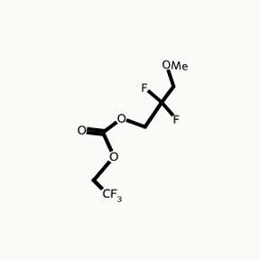 COCC(F)(F)COC(=O)OCC(F)(F)F